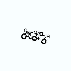 O=C(c1cc(Cc2n[nH]c(=O)c3ccccc23)ccc1F)N1CCC(Nc2ccccc2)C1